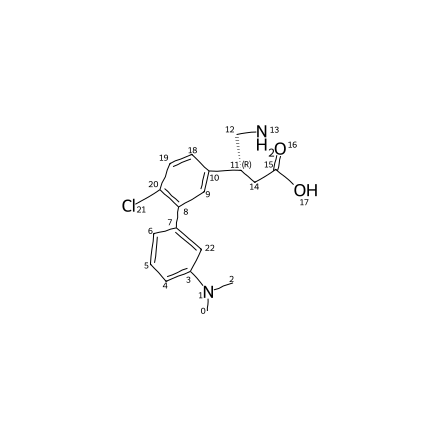 CN(C)c1cccc(-c2cc([C@H](CN)CC(=O)O)ccc2Cl)c1